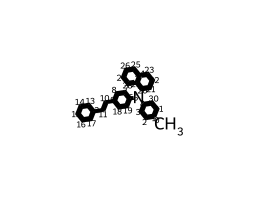 Cc1ccc(N(c2ccc(/C=C/c3ccccc3)cc2)c2cccc3ccccc23)cc1